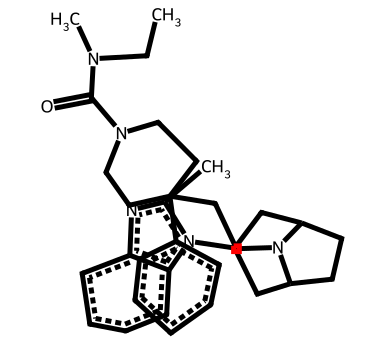 CCN(C)C(=O)N1CCC(CCN2C3CCC2CC(n2c(C)nc4ccccc42)C3)(c2ccccc2)CC1